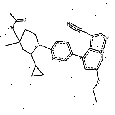 CCOc1cc(-c2ccc(N3CCC(C)(NC(C)=O)CC3C3CC3)nc2)c2c(C#N)cnn2c1